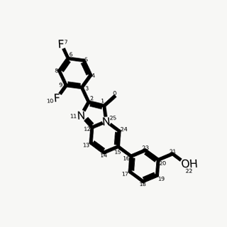 Cc1c(-c2ccc(F)cc2F)nc2ccc(-c3cccc(CO)c3)cn12